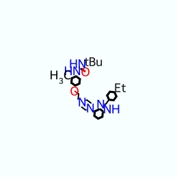 CCc1ccc(-c2nc3c(N4CCN(CCOc5ccc(NC(=O)NC(C)(C)C)c(C)c5)CC4)cccc3[nH]2)cc1